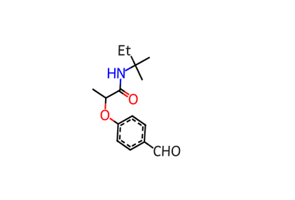 CCC(C)(C)NC(=O)C(C)Oc1ccc(C=O)cc1